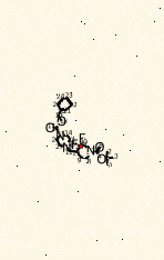 CC(C)(C)OC(=O)N1CCC(CN2CCN(C(=O)OCc3ccccc3)CC2)C(F)(F)C1